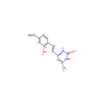 COc1ccc(/C=C/c2cc(C(F)(F)F)[nH]c(=O)n2)c(O)c1